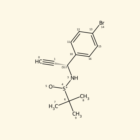 C#C[C@@H](N[S+]([O-])C(C)(C)C)c1ccc(Br)cc1